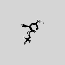 N#Cc1cc(N)cnc1OCC(F)(F)F